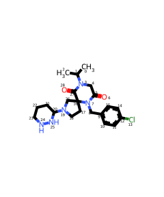 CC(C)N1CC(=O)N(Cc2ccc(Cl)cc2)C2(CCN(C3CCCNN3)C2)C1=O